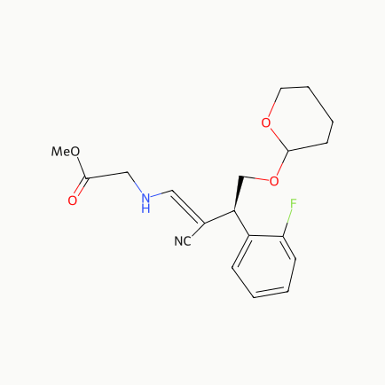 COC(=O)CNC=C(C#N)[C@@H](COC1CCCCO1)c1ccccc1F